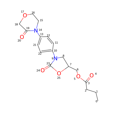 CCCC(=O)OCC1CN(c2ccc(N3CCOCC3=O)cc2)C(=O)O1